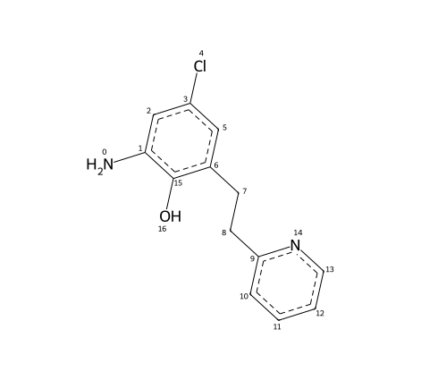 Nc1cc(Cl)cc(CCc2ccccn2)c1O